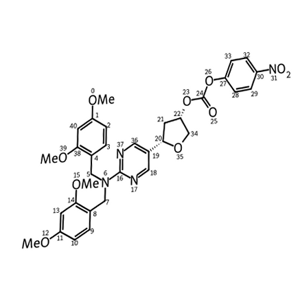 COc1ccc(CN(Cc2ccc(OC)cc2OC)c2ncc([C@@H]3C[C@H](OC(=O)Oc4ccc([N+](=O)[O-])cc4)CO3)cn2)c(OC)c1